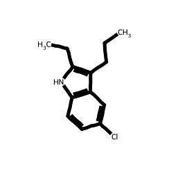 CCCc1c(CC)[nH]c2ccc(Cl)cc12